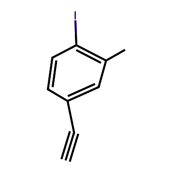 C#Cc1ccc(I)c(C)c1